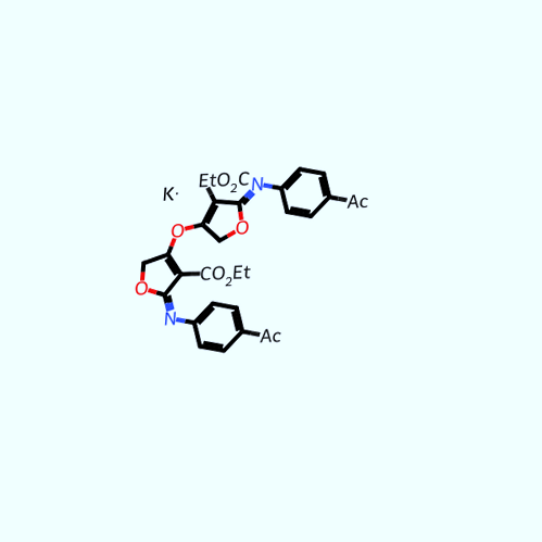 CCOC(=O)C1=C(OC2=C(C(=O)OCC)C(=Nc3ccc(C(C)=O)cc3)OC2)COC1=Nc1ccc(C(C)=O)cc1.[K]